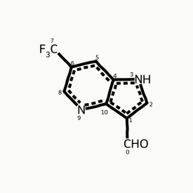 O=Cc1c[nH]c2cc(C(F)(F)F)cnc12